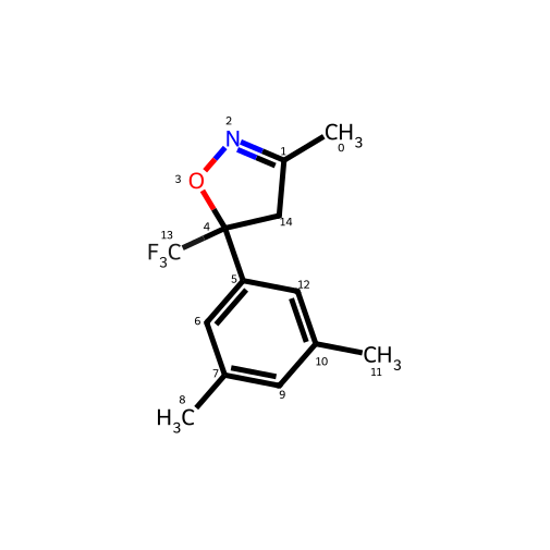 CC1=NOC(c2cc(C)cc(C)c2)(C(F)(F)F)C1